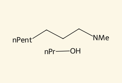 CCCCCCCCNC.CCCO